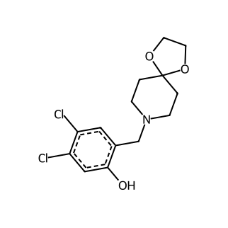 Oc1cc(Cl)c(Cl)cc1CN1CCC2(CC1)OCCO2